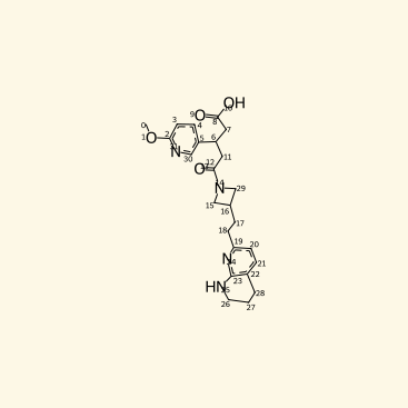 COc1ccc(C(CC(=O)O)CC(=O)N2CC(CCc3ccc4c(n3)NCCC4)C2)cn1